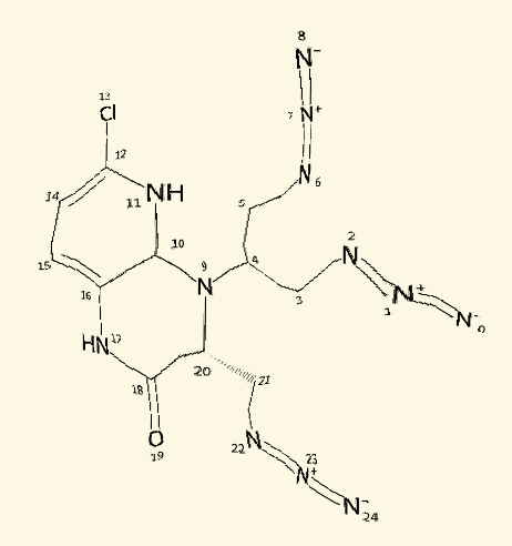 [N-]=[N+]=NCC(CN=[N+]=[N-])N1C2NC(Cl)=CC=C2NC(=O)[C@H]1CN=[N+]=[N-]